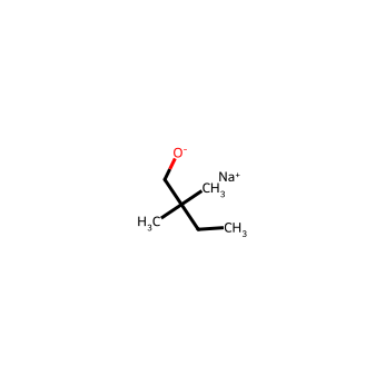 CCC(C)(C)C[O-].[Na+]